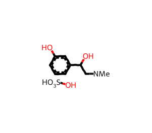 CNCC(O)c1cccc(O)c1.O=S(=O)(O)O